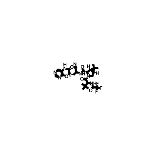 CC(C)(C)C(NC(=O)C(F)(F)F)C(=O)N1C[C@H]2[C@@H]([C@H]1C(=O)NC(C#N)C[C@@H]1Oc3ncncc3NC1=O)C2(C)C